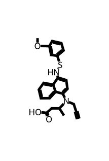 C#CCN(c1ccc(NSc2cccc(OC)c2)c2ccccc12)C(C)CC(=O)O